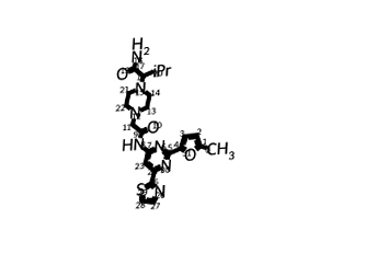 Cc1ccc(-c2nc(NC(=O)CN3CCN(C(C(N)=O)C(C)C)CC3)cc(-c3nccs3)n2)o1